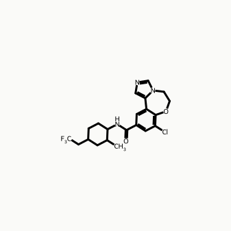 CC1CC(CC(F)(F)F)CCC1NC(=O)c1cc(Cl)c2c(c1)-c1cncn1CCO2